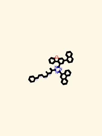 C=C(/C=C(C)/C=C\C=C/C=C1\C=CC=CC1)c1nc(-c2cc3ccccc3c3ccccc23)nc(-c2cc(-c3cccc4ccccc34)cc3oc4ccccc4c23)n1